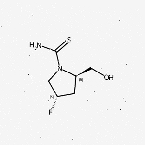 NC(=S)N1C[C@@H](F)C[C@@H]1CO